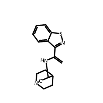 C=C(NC1CN2CCC1CC2)c1nsc2ccccc12